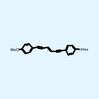 CCCCCCc1ccc(C#C/C=C/C#Cc2ccc(OC)cc2)cc1